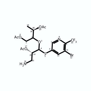 CC(=O)OCC(OC(Sc1cnc(C(F)(F)F)c(Br)c1)[C@H](CN)OC(C)=O)[C@@H](C)OC(C)=O